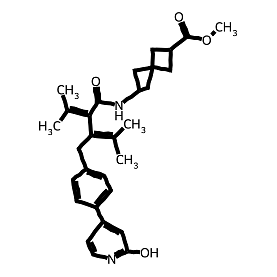 COC(=O)C1CC2(CC(NC(=O)C(=C(C)C)C(Cc3ccc(-c4ccnc(O)c4)cc3)=C(C)C)C2)C1